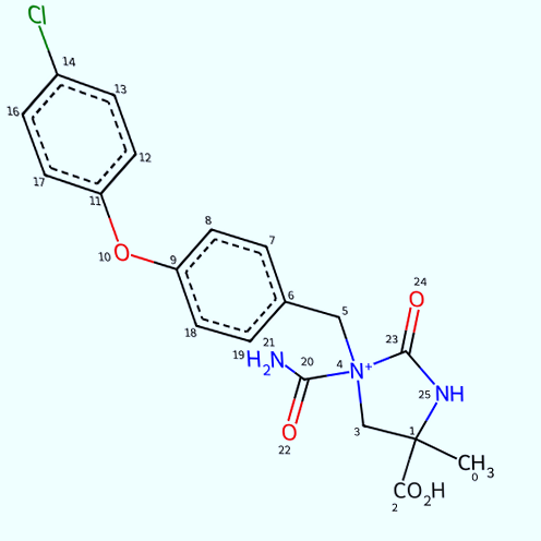 CC1(C(=O)O)C[N+](Cc2ccc(Oc3ccc(Cl)cc3)cc2)(C(N)=O)C(=O)N1